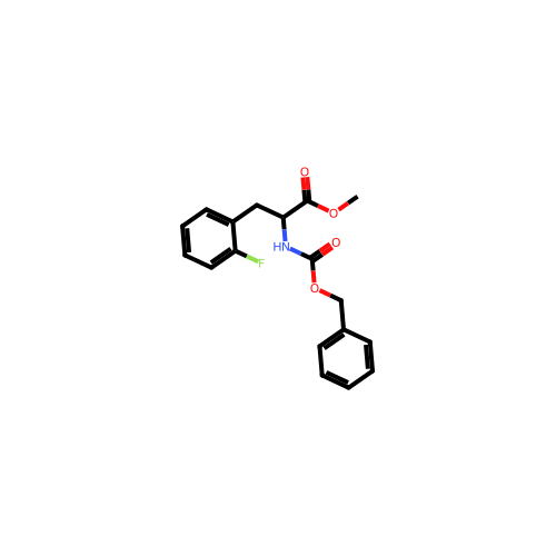 COC(=O)C(Cc1ccccc1F)NC(=O)OCc1ccccc1